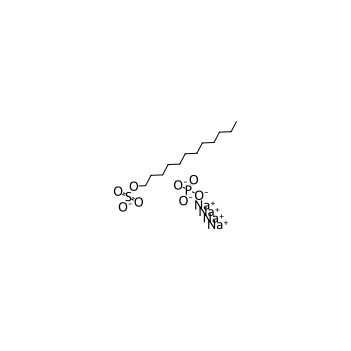 CCCCCCCCCCCCOS(=O)(=O)[O-].O=P([O-])([O-])[O-].[Na+].[Na+].[Na+].[Na+]